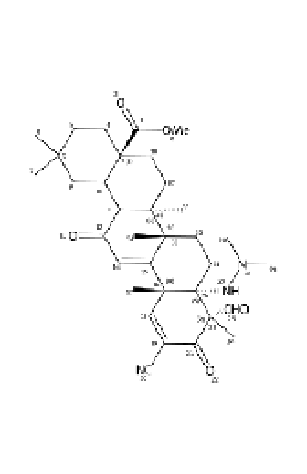 COC(=O)[C@]12CCC(C)(C)CC1C1C(=O)C=C3[C@@]4(C)C=C(C#N)C(=O)[C@@](C)(C=O)[C@]4(NN(C)C)CC[C@@]3(C)[C@]1(C)CC2